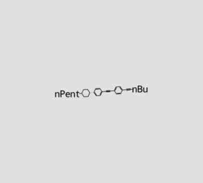 CCCCC#Cc1ccc(C#Cc2ccc([C@H]3CC[C@H](CCCCC)CC3)cc2)cc1